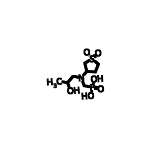 CC(O)CN(CP(=O)(O)O)C1CCS(=O)(=O)C1